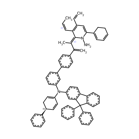 C=CC1=C(/C=C\C)/C(=C(\C)C(=C)c2ccc(-c3cccc(N(C4=CC[C@H](c5ccccc5)C=C4)c4ccc5c(c4)C(c4ccccc4)(c4ccccc4)c4ccccc4-5)c3)cc2)N(N)C(C2=CC=CCC2)=C1